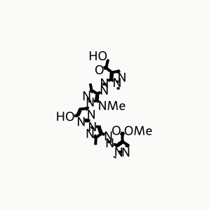 CNc1c(/N=N/c2c(C(=O)CO)cnn2C)c(C)nn1-c1cc(O)nc(-n2cc(/N=N/c3c(C(=O)OC)cnn3C)c(C)n2)n1